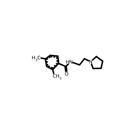 Cc1ccc(C(=O)NCCN2CCCC2)c(C)c1